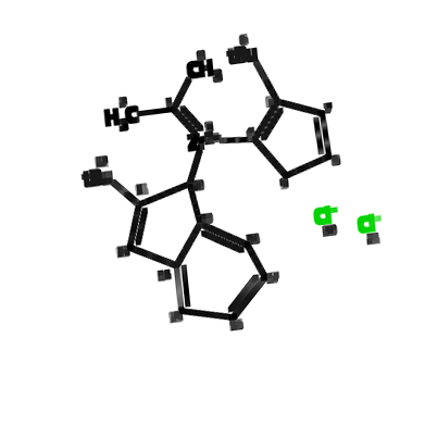 C[C](C)=[Zr+2]([C]1=C(C(C)(C)C)C=CC1)[CH]1C(C(C)(C)C)=Cc2ccccc21.[Cl-].[Cl-]